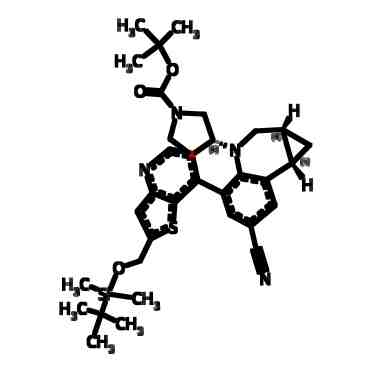 CC(C)(C)OC(=O)N1CC[C@@H](N2C[C@@H]3C[C@@H]3c3cc(C#N)cc(-c4ccnc5cc(CO[Si](C)(C)C(C)(C)C)sc45)c32)C1